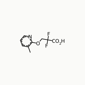 Cc1cccnc1OCC(F)(F)C(=O)O